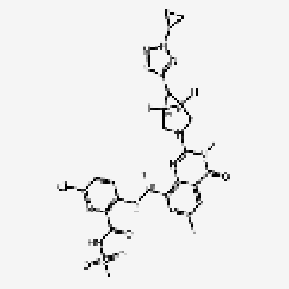 Cc1cc([C@@H](C)Nc2ccc(Cl)nc2C(=O)NS(C)(=O)=O)c2nc(N3C[C@@H]4C(c5cnn(C6CC6)n5)[C@@H]4C3)n(C)c(=O)c2c1